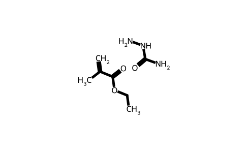 C=C(C)C(=O)OCC.NNC(N)=O